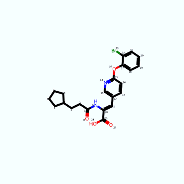 O=C(CCC1CCCC1)NC(=Cc1ccc(Oc2ccccc2Br)nc1)C(=O)O